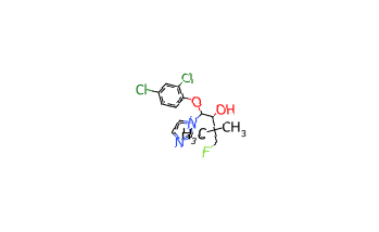 CC(C)(CF)C(O)C(Oc1ccc(Cl)cc1Cl)n1ccnc1